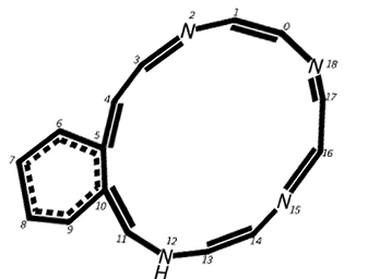 C1=CN=CC=c2ccccc2=CNC=CN=CC=N1